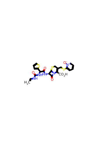 C=CNC(=O)NC(C(=O)N[C@@H]1C(=O)N2C(C(=O)O)=C(CSc3cccc[n+]3[O-])CSC12)c1cccs1